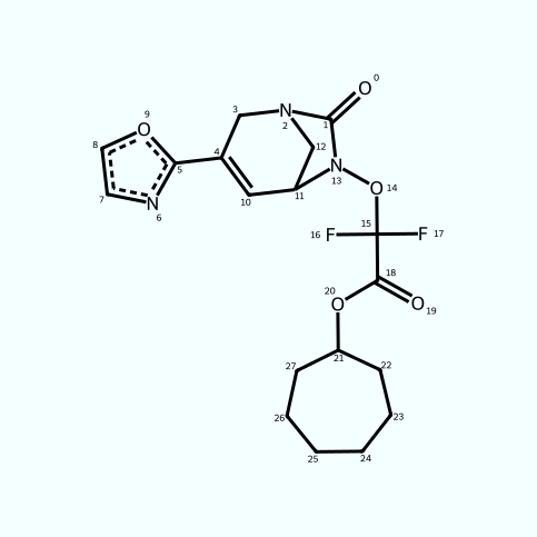 O=C1N2CC(c3ncco3)=CC(C2)N1OC(F)(F)C(=O)OC1CCCCCC1